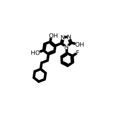 Oc1cc(O)c(-c2nnc(O)n2-c2ccccc2F)cc1CCC1CCCCC1